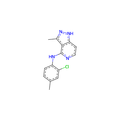 Cc1ccc(Nc2nccc3[nH]nc(C)c23)c(Cl)c1